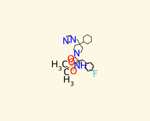 CC(C)S(=O)(=O)N[C@H](Cc1ccc(F)cc1)C(=O)N1CCC(Cn2ccnc2)(C2CCCCC2)CC1